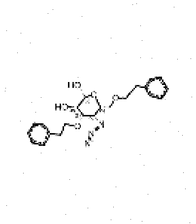 [N-]=[N+]=N[C@@H]1[C@H](OCCc2ccccc2)[C@@H](O)[C@H](O)O[C@@H]1COCCc1ccccc1